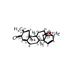 CC(=O)[C@@]12C=CC3(CC1)[C@@H]1CCC4=CC(=O)C(C)C[C@@H]4[C@H]1CC[C@@]32C